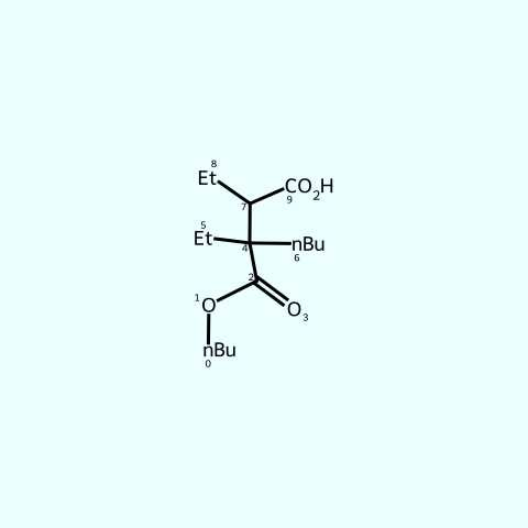 CCCCOC(=O)C(CC)(CCCC)C(CC)C(=O)O